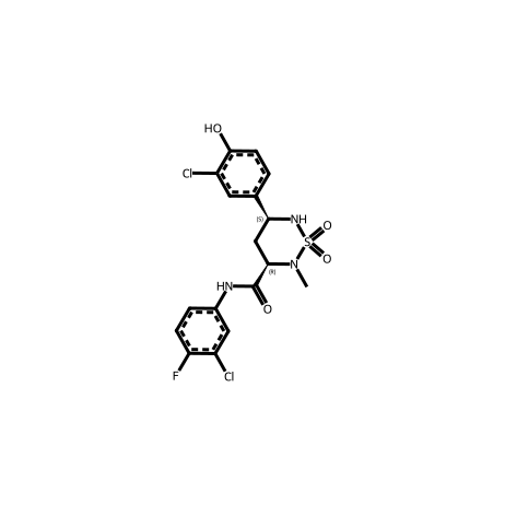 CN1[C@@H](C(=O)Nc2ccc(F)c(Cl)c2)C[C@@H](c2ccc(O)c(Cl)c2)NS1(=O)=O